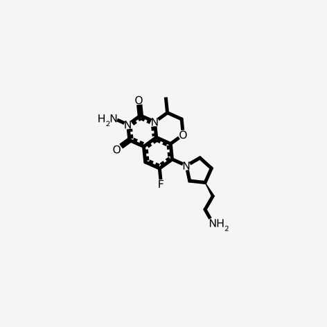 CC1COc2c(N3CC[C@@H](CCN)C3)c(F)cc3c(=O)n(N)c(=O)n1c23